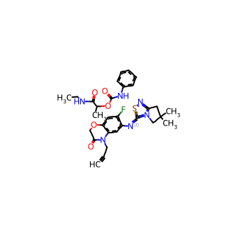 C#CCN1C(=O)COc2cc(F)c(/N=c3\snc4n3CC(C)(C)C4)cc21.CCNC(=O)C(C)OC(=O)Nc1ccccc1